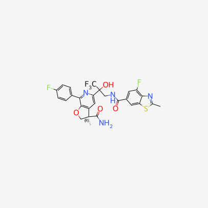 Cc1nc2c(F)cc(C(=O)NCC(O)(c3cc4c(c(-c5ccc(F)cc5)n3)OC[C@]4(C)C(N)=O)C(F)(F)F)cc2s1